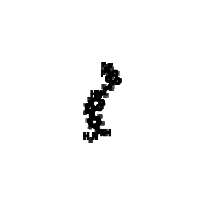 N=C(N)c1ccc(-n2ccn(CC(=O)NCCCC(=O)OC(=O)C(F)(F)F)c2=O)cc1